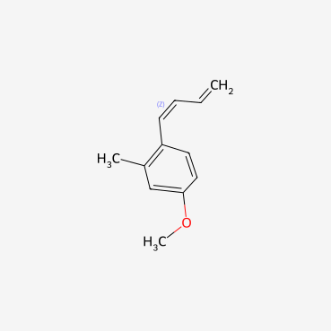 C=C/C=C\c1ccc(OC)cc1C